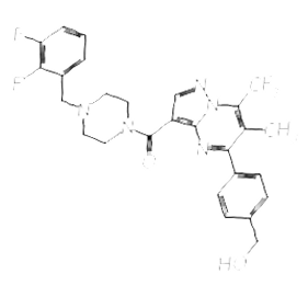 Cc1c(-c2ccc(CO)cc2)nc2c(C(=O)N3CCN(Cc4cccc(F)c4F)CC3)cnn2c1C(F)(F)F